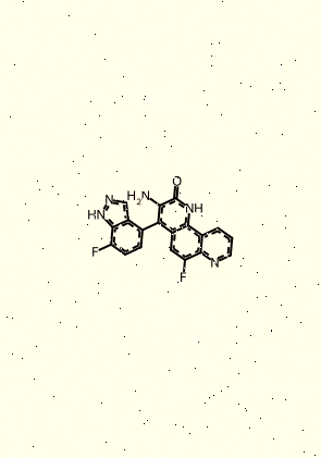 Nc1c(-c2ccc(F)c3[nH]ncc23)c2cc(F)c3ncccc3c2[nH]c1=O